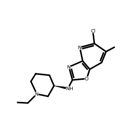 CCN1CCC[C@@H](Nc2nc3nc(Cl)c(C)cc3o2)C1